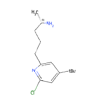 C[C@H](N)CCCc1cc(C(C)(C)C)cc(Cl)n1